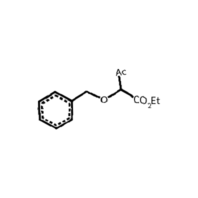 CCOC(=O)C(OCc1ccccc1)C(C)=O